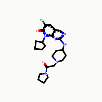 O=C(CN1CCC(Nc2ncc3cc(Cl)c(=O)n(C4CCCC4)c3n2)CC1)N1CCCC1